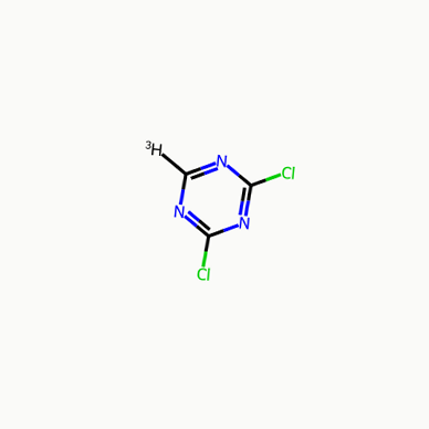 [3H]c1nc(Cl)nc(Cl)n1